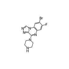 Fc1cc2nc(N3CCNCC3)c3nncn3c2cc1Br